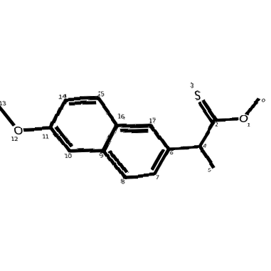 COC(=S)C(C)c1ccc2cc(OC)ccc2c1